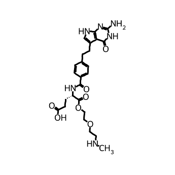 CNCCOCCOC(=O)[C@H](CCC(=O)O)NC(=O)c1ccc(CCc2c[nH]c3nc(N)[nH]c(=O)c23)cc1